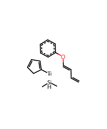 C=CC=COc1ccccc1.C[SiH](C)[Ti][C]1=CC=CC1